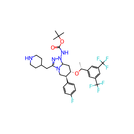 C[C@@H](O[C@H]1CC2N(NC(=O)OC(C)(C)C)N=C(CC3CCNCC3)N2C[C@@H]1c1ccc(F)cc1)c1cc(C(F)(F)F)cc(C(F)(F)F)c1